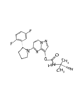 CC(C)(C#N)NC(=O)Oc1cnn2ccc(N3CCC[C@@H]3c3cc(F)ccc3F)nc12